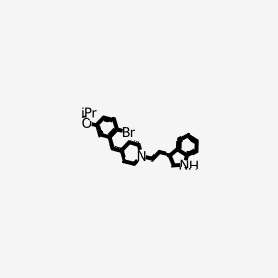 CC(C)Oc1ccc(Br)c(CC2CCN(CCC3CNc4ccccc43)CC2)c1